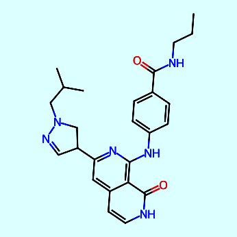 CCCNC(=O)c1ccc(Nc2nc(C3C=NN(CC(C)C)C3)cc3cc[nH]c(=O)c23)cc1